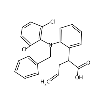 C=CCC(C(=O)O)c1ccccc1N(Cc1ccccc1)c1c(Cl)cccc1Cl